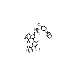 Cn1cnc2c(c(-c3cc(C(N)=O)c(O)cc3F)cn2CC(=O)Nc2cc(N3CC4CCC(C3)O4)ncc2Cl)c1=O